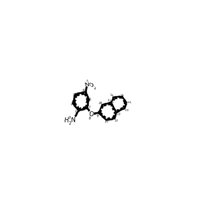 Nc1ccc([N+](=O)[O-])cc1Oc1ccc2ccccc2c1